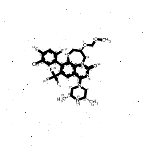 COCO[C@@H]1CSc2c(-c3cc(Cl)c(F)cc3F)c(C(F)(F)F)cc3c(N4C[C@@H](C)N[C@@H](C)C4)nc(=O)n(c23)C1